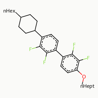 CCCCCCCOc1ccc(-c2ccc(C3CCC(CCCCCC)CC3)c(F)c2F)c(F)c1F